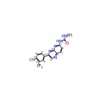 CCNC(=O)Nc1ccc2ncc(-c3ccc(Cl)c(C(F)(F)F)c3)nc2n1